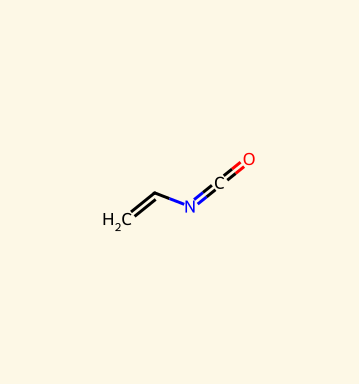 C=CN=C=O